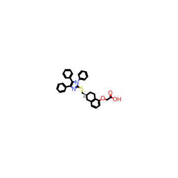 O=C(O)COc1cccc2c1CC[C@H](CSc1nc(-c3ccccc3)c(-c3ccccc3)n1-c1ccccc1)C2